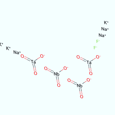 [F-].[F-].[K+].[K+].[K+].[Na+].[Na+].[Na+].[O]=[Nb](=[O])[O-].[O]=[Nb](=[O])[O-].[O]=[Ta](=[O])[O-].[O]=[Ta](=[O])[O-]